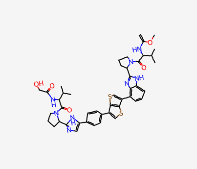 C=C(N[C@H](C(=O)N1CCCC1c1nc2c(-c3csc4c(-c5ccc(-c6cnc(C7CCCN7C(=O)[C@@H](NC(=O)CO)C(C)C)[nH]6)cc5)csc34)cccc2[nH]1)C(C)C)OC